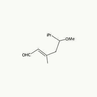 COC(CC(C)=CC=O)C(C)C